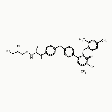 Cc1ccc(Cn2c(-c3ccc(Oc4ccc(NC(=O)NOCC(O)CO)cc4)cc3)cc(C(F)(F)F)c(C#N)c2=O)c(C)c1